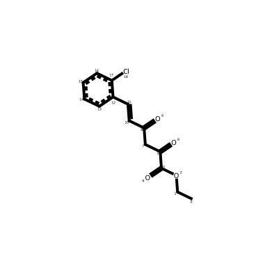 CCOC(=O)C(=O)CC(=O)C=Cc1ccccc1Cl